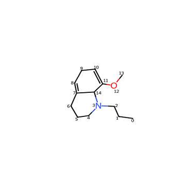 CCCN1CCCC2=CCC=C(OC)C21